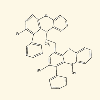 CC(C)B1c2ccccc2Sc2c(CC(C)B3c4ccccc4Oc4ccc(C(C)C)c(-c5ccccc5)c43)cc(C(C)C)c(-c3ccccc3)c21